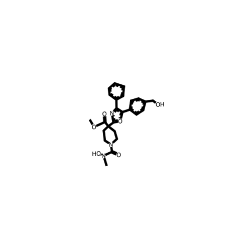 COC(=O)C1(c2nc(-c3ccccc3)c(-c3ccc(CO)cc3)o2)CCN(C(=O)N(C)O)CC1